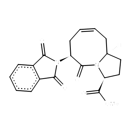 COC(=O)[C@@H]1CC[C@@H]2C/C=C\C[C@H](N3C(=O)c4ccccc4C3=O)C(=O)N21